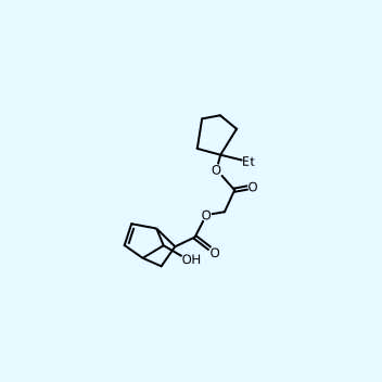 CCC1(OC(=O)COC(=O)C2CC3C=CC2C3O)CCCC1